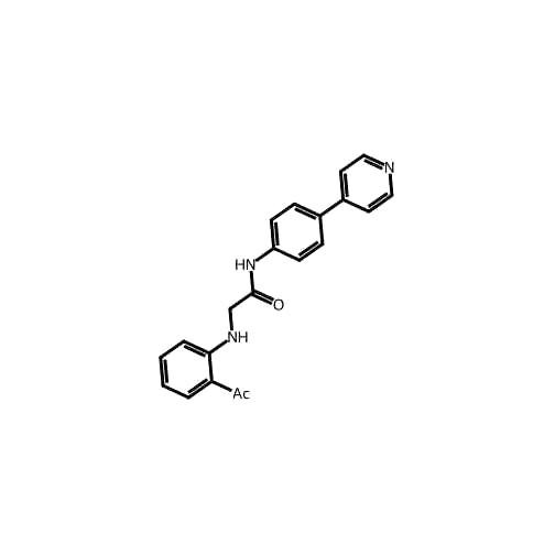 CC(=O)c1ccccc1NCC(=O)Nc1ccc(-c2ccncc2)cc1